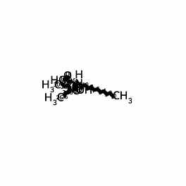 CCCCCCCCCCCC(O)N[C@@H](CCC(=O)O)C(=O)N(CCCC)CCCC